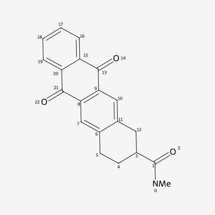 CNC(=O)C1CCc2cc3c(cc2C1)C(=O)c1ccccc1C3=O